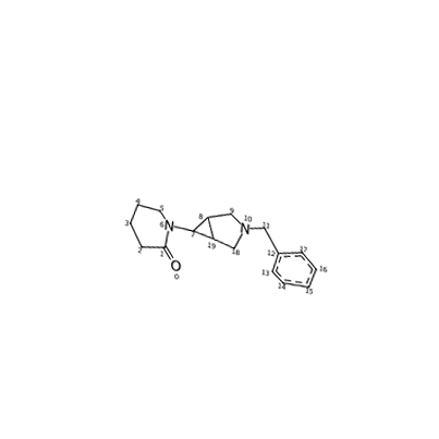 O=C1CCCCN1C1C2CN(Cc3ccccc3)CC21